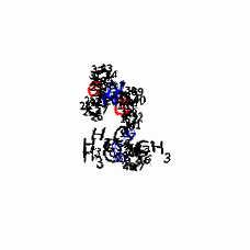 C/C=C1\C(=C/C)C(/C=C(\C)c2ccc3c(c2)oc2c(-c4nc(-c5ccccc5)c5oc6ccccc6c5n4)cccc23)=C(C)C12CCCCC2